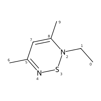 CCN1SN=C(C)C=C1C